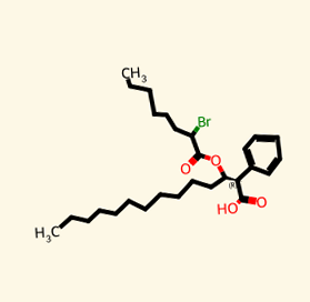 CCCCCCCCCCCC(OC(=O)C(Br)CCCCCC)[C@H](C(=O)O)c1ccccc1